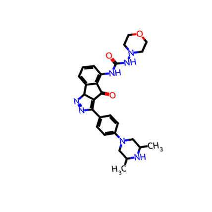 CC1CN(c2ccc(C3=C4C(=O)c5c(NC(=O)NN6CCOCC6)cccc5C4N=N3)cc2)CC(C)N1